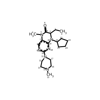 CCC1C(=O)N(C)c2cnc(N3CCN(C)CC3)nc2N1C1CCCC1